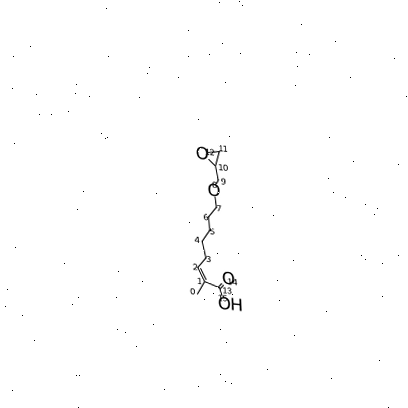 CC(=CCCCCCOCC1CO1)C(=O)O